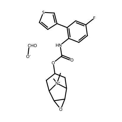 C[N+]1(C)C2CC(OC(=O)Nc3ccc(F)cc3-c3ccsc3)CC1C1OC12.O=C[O-]